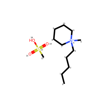 CCCCC[N+]1(C)CCCCC1.CS(=O)(=O)O